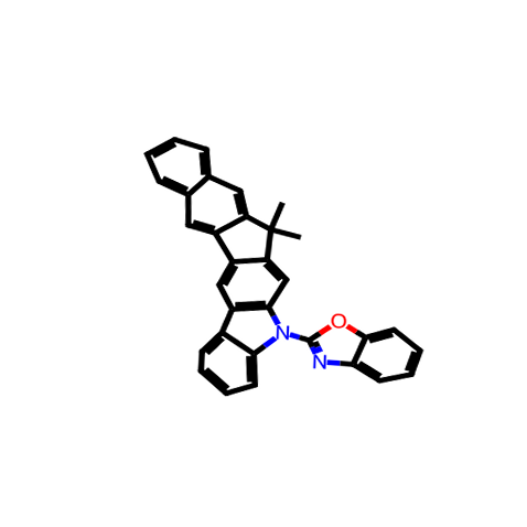 CC1(C)c2cc3ccccc3cc2-c2cc3c4ccccc4n(-c4nc5ccccc5o4)c3cc21